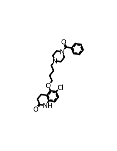 O=C1CCc2c(ccc(Cl)c2OCCCCN2CCN(C(=O)c3ccccc3)CC2)N1